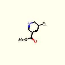 CCC1C=C(C(=O)OC)C=NC1